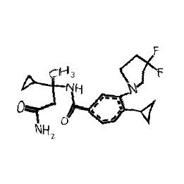 CC(CC(N)=O)(NC(=O)c1ccc(C2CC2)c(N2CCC(F)(F)C2)c1)C1CC1